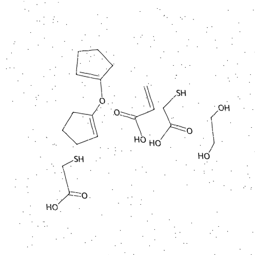 C1=C(OC2=CCCC2)CCC1.C=CC(=O)O.O=C(O)CS.O=C(O)CS.OCCO